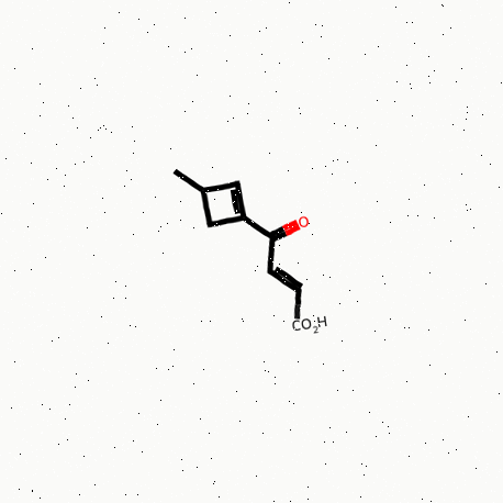 CC1C=C(C(=O)C=CC(=O)O)C1